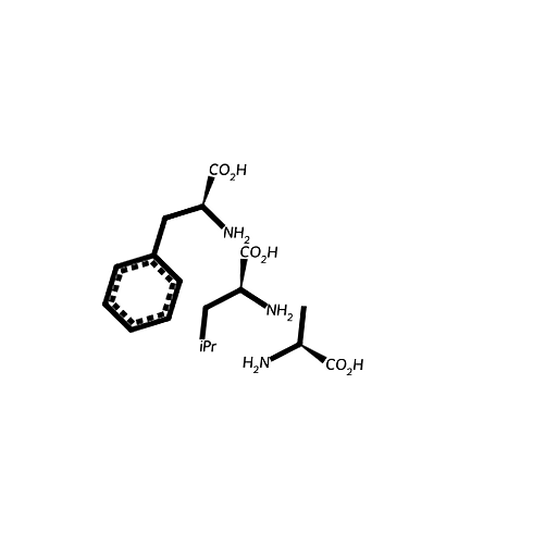 CC(C)C[C@H](N)C(=O)O.C[C@H](N)C(=O)O.N[C@@H](Cc1ccccc1)C(=O)O